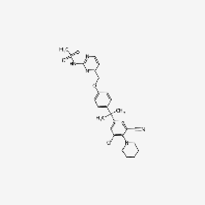 CC(C)(c1ccc(OCc2ccnc(NS(C)(=O)=O)n2)cc1)c1cc(Cl)c(N2CCCCC2)c(C#N)c1